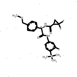 COCc1ccc([C@@H](NC(=O)C2CC2(F)F)C(=O)Nc2ccc(S(C)(C)C)c(F)c2)cc1